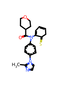 Cc1nccn1-c1ccc(N(C(=O)C2CCOCC2)C2=CC=CCC2=S)cc1